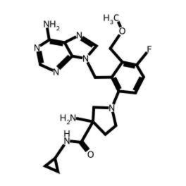 COCc1c(F)ccc(N2CCC(N)(C(=O)NC3CC3)C2)c1Cn1cnc2c(N)ncnc21